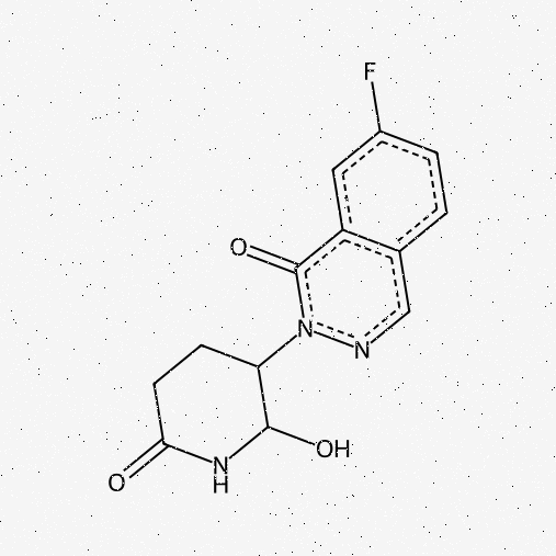 O=C1CCC(n2ncc3ccc(F)cc3c2=O)C(O)N1